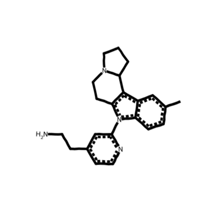 Cc1ccc2c(c1)c1c(n2-c2cc(CCN)ccn2)CCN2CCCC12